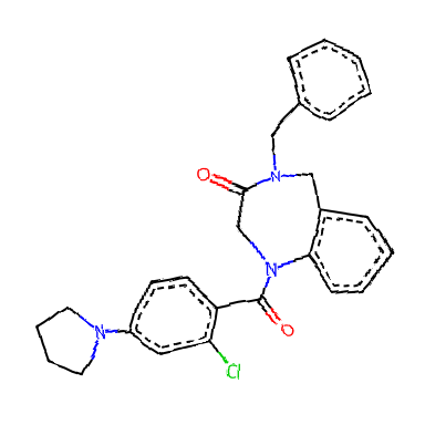 O=C1CN(C(=O)c2ccc(N3CCCC3)cc2Cl)c2ccccc2CN1Cc1ccccc1